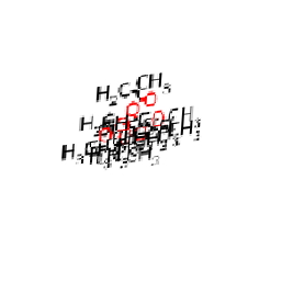 C=C(C)C(=O)OC[Si](O[Si](C)(C)C)(O[Si](C)(C)O[Si](C)(C)C)O[Si](C)(C)O[Si](C)(C)C